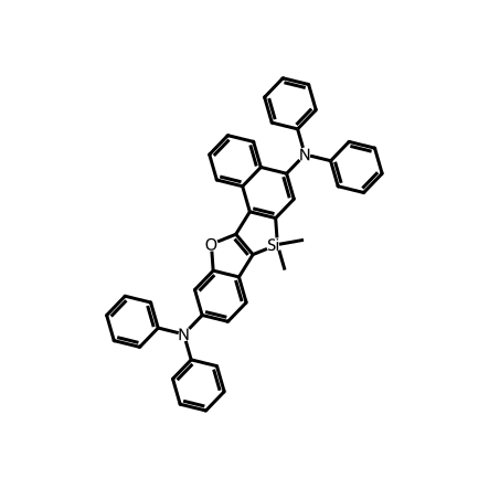 C[Si]1(C)c2cc(N(c3ccccc3)c3ccccc3)c3ccccc3c2-c2oc3cc(N(c4ccccc4)c4ccccc4)ccc3c21